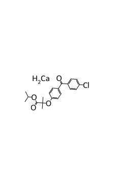 CC(C)OC(=O)C(C)(C)Oc1ccc(C(=O)c2ccc(Cl)cc2)cc1.[CaH2]